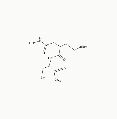 CCCCCCCCCCCCC(CC(=O)NO)C(=O)NC(CC(C)C)C(=S)NC